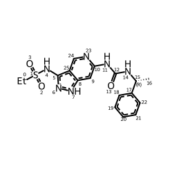 CCS(=O)(=O)Nc1n[nH]c2cc(NC(=O)N[C@H](C)c3ccccc3)ncc12